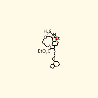 CCOC(=O)c1c(CCCOc2cccc3c2CCC3)c2ccc(F)c3c2n1CCCCOCc1c-3c(CC)nn1C